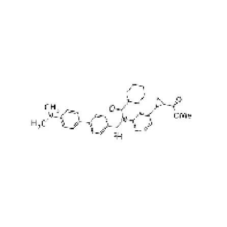 [2H][C@H](c1ccc(-c2ccc(N(C)C)cc2)cc1)N(C(=O)C1CCCCC1)c1cccc(C2CC2C(=O)OC)c1